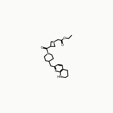 CCOC(=O)CN1CC(C(=O)N2CCC(Cc3ccc4c(n3)NCCC4)CC2)C1